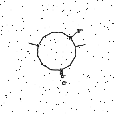 CC1CCNCCCN(C)CCC[N]1[Ti+2].[Cl-].[Cl-]